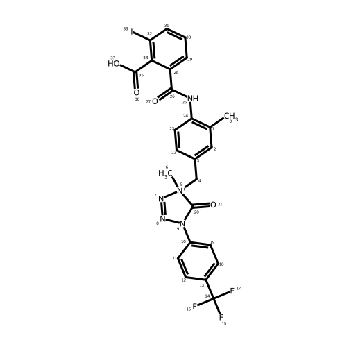 Cc1cc(C[N+]2(C)N=NN(c3ccc(C(F)(F)F)cc3)C2=O)ccc1NC(=O)c1cccc(I)c1C(=O)O